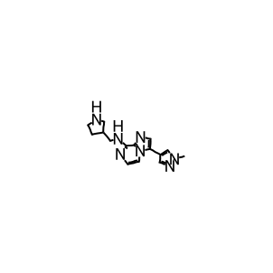 Cn1cc(-c2cnc3c(NCC4CCNC4)nccn23)cn1